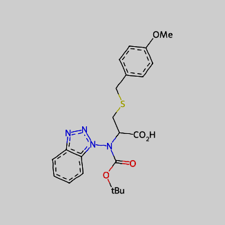 COc1ccc(CSCC(C(=O)O)N(C(=O)OC(C)(C)C)n2nnc3ccccc32)cc1